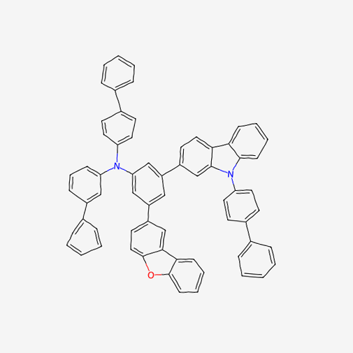 c1ccc(-c2ccc(N(c3cccc(-c4ccccc4)c3)c3cc(-c4ccc5oc6ccccc6c5c4)cc(-c4ccc5c6ccccc6n(-c6ccc(-c7ccccc7)cc6)c5c4)c3)cc2)cc1